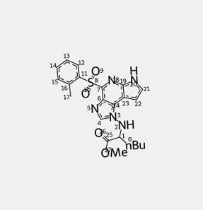 CCCCC(Nn1cnc2c(S(=O)(=O)c3ccccc3C)nc3[nH]ccc3c21)C(=O)OC